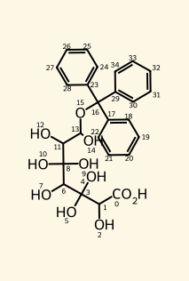 O=C(O)C(O)C(O)(O)C(O)C(O)(O)C(O)C(O)OC(c1ccccc1)(c1ccccc1)c1ccccc1